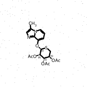 CC(=O)O[C@@H]1[C@@H](OC(C)=O)[C@@H](Oc2cccn3c(C)cnc23)SC[C@H]1OC(C)=O